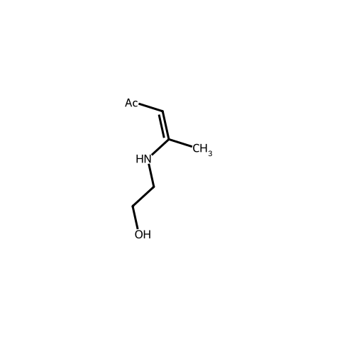 CC(=O)C=C(C)NCCO